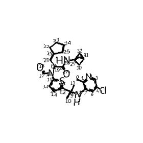 Cc1ncc(Cl)cc1NC(C)(C)c1ccc(N(C=O)[C@@H](CC2CCCC2)C(=O)NC23CC(C2)C3)s1